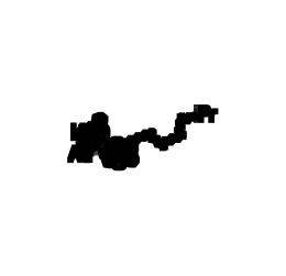 C=C(C)C[C@@]12CC[C@@H]1C[C@H](C)[C@@]1(C)C(=O)[C@H](CC(C)=O)C3=C(C)C(CC(=O)C(OC(=O)CC(=O)CCCCCC(C)CCCC(C)CCCCC(C)CCCC(C)CCCC(C)C)[C@@H](CC(=O)c4ccccc4)c4ccccc4)C[C@@](C)([C@@H](CC(=O)c4ccccc4)[C@]21C)[C@H]3C